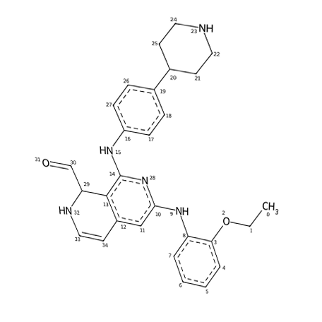 CCOc1ccccc1Nc1cc2c(c(Nc3ccc(C4CCNCC4)cc3)n1)C(C=O)NC=C2